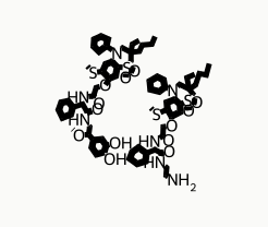 CCCCC1(CC)CN(c2ccccc2)c2cc(SC)c(OCC(=O)N[C@@H](C(=O)NCC(OC)c3ccc(O)c(O)c3)c3ccccc3)cc2S(=O)(=O)C1.CCCCC1(CC)CN(c2ccccc2)c2cc(SC)c(OCC(=O)N[C@@H](C(=O)NCCN)c3ccccc3)cc2S(=O)(=O)C1